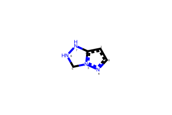 c1cc2n(n1)CNN2